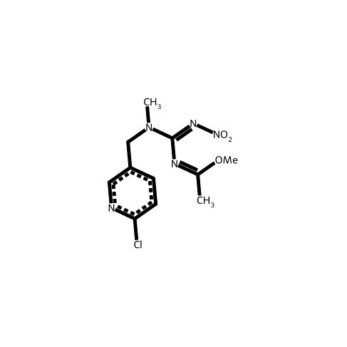 CO/C(C)=N\C(=N/[N+](=O)[O-])N(C)Cc1ccc(Cl)nc1